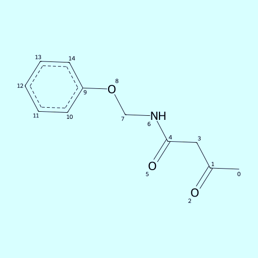 CC(=O)CC(=O)NCOc1ccccc1